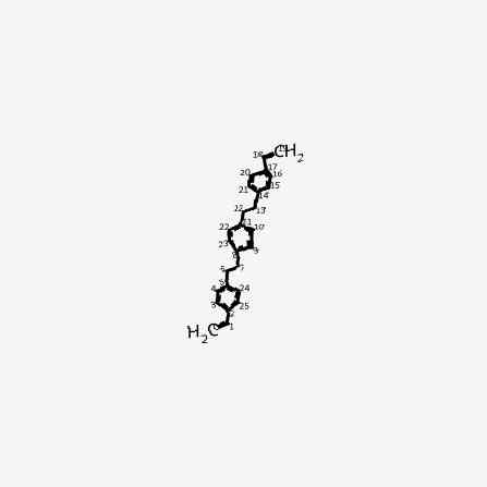 C=Cc1ccc(CCc2ccc(CCc3ccc(C=C)cc3)cc2)cc1